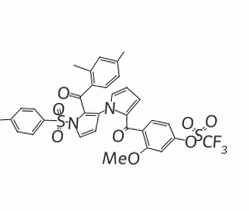 COc1cc(OS(=O)(=O)C(F)(F)F)ccc1C(=O)c1cccn1-c1ccn(S(=O)(=O)c2ccc(C)cc2)c1C(=O)c1ccc(C)cc1C